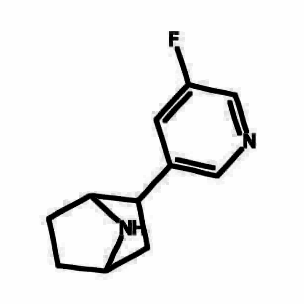 Fc1cncc(C2CC3CCC2N3)c1